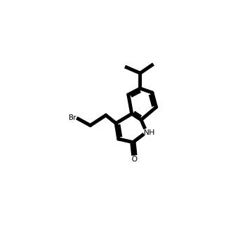 CC(C)c1ccc2[nH]c(=O)cc(CCBr)c2c1